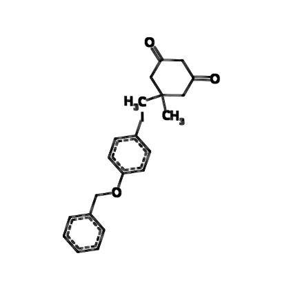 CC1(C)CC(=O)CC(=O)C1.Ic1ccc(OCc2ccccc2)cc1